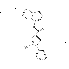 Cc1c(C(=O)Nc2cccc3ccccc23)nc(C(F)(F)F)n1-c1ccccc1